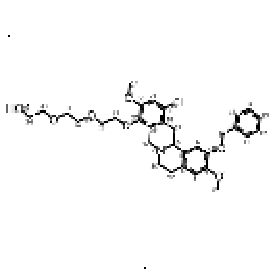 COc1cc2c(cc1OCc1ccccc1)C1Cc3c(Cl)cc(OC)c(OCCOCCOCCO)c3CN1CC2